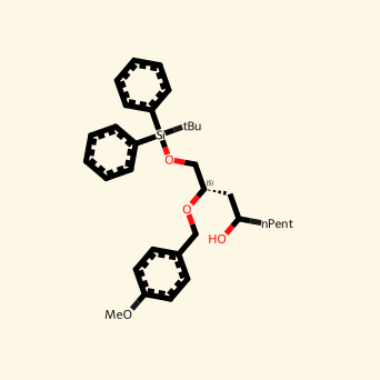 CCCCCC(O)C[C@@H](CO[Si](c1ccccc1)(c1ccccc1)C(C)(C)C)OCc1ccc(OC)cc1